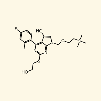 Cc1cc(F)ccc1-c1nc(SCCO)nc2c1c(C#N)cn2COCC[Si](C)(C)C